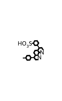 Cc1ccc(-c2ccnc3c2ccc2c(-c4cccc(S(=O)(=O)O)c4)ccnc23)cc1